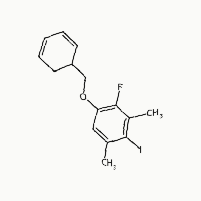 Cc1cc(OCC2C=CC=CC2)c(F)c(C)c1I